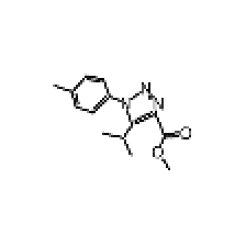 COC(=O)c1nnn(-c2ccc(C)cc2)c1C(C)C